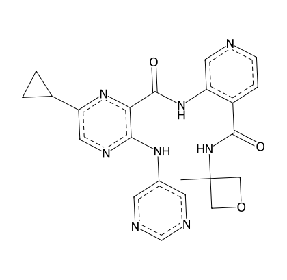 CC1(NC(=O)c2ccncc2NC(=O)c2nc(C3CC3)cnc2Nc2cncnc2)COC1